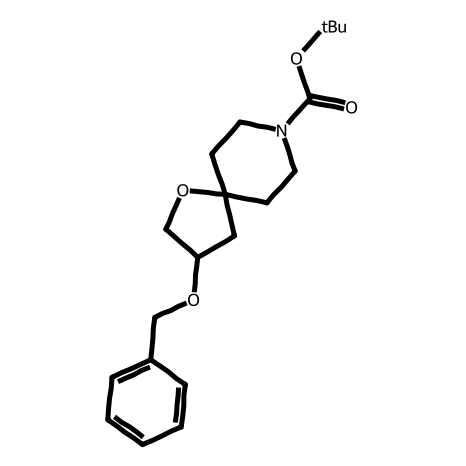 CC(C)(C)OC(=O)N1CCC2(CC1)CC(OCc1ccccc1)CO2